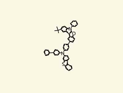 CC(C)(C)c1ccc2c(c1)c1c3cc(-c4ccc(N(c5ccc(-c6ccccc6)cc5)c5ccc6c(c5)sc5ccccc56)cc4)ccc3oc1n2-c1ccccc1